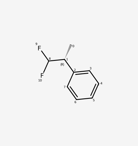 C[C@H](c1c[c]ccc1)C(F)F